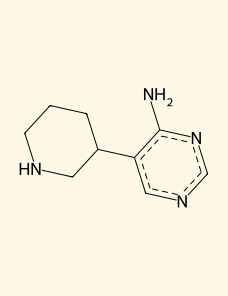 Nc1ncncc1C1CCCNC1